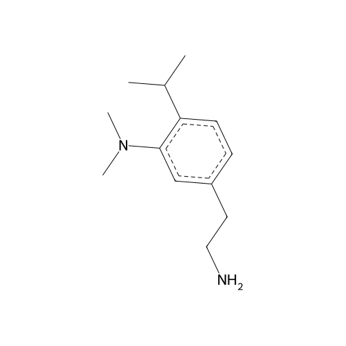 CC(C)c1ccc(CCN)cc1N(C)C